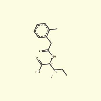 CC[C@H](C)[C@H](NC(=O)Cc1ccccc1C)C(=O)O